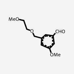 COCCOCc1cc(C=O)cc(OC)c1